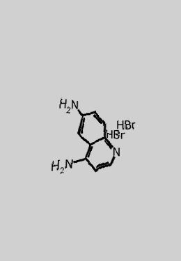 Br.Br.Nc1ccc2nccc(N)c2c1